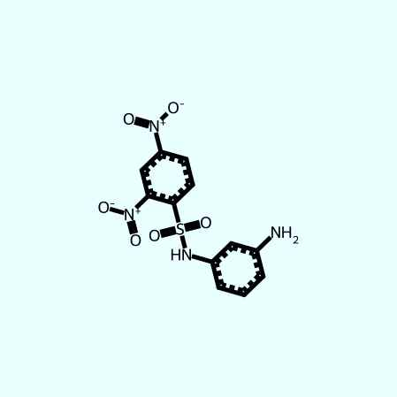 Nc1cccc(NS(=O)(=O)c2ccc([N+](=O)[O-])cc2[N+](=O)[O-])c1